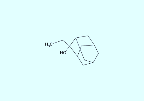 CCC1(O)C2CC3CC(C2)CC1C3